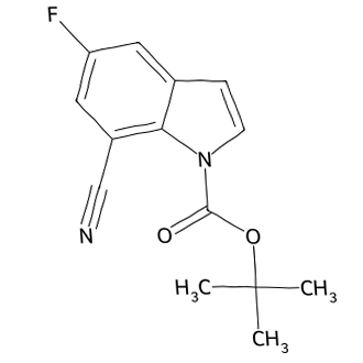 CC(C)(C)OC(=O)n1ccc2cc(F)cc(C#N)c21